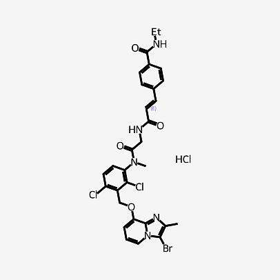 CCNC(=O)c1ccc(/C=C/C(=O)NCC(=O)N(C)c2ccc(Cl)c(COc3cccn4c(Br)c(C)nc34)c2Cl)cc1.Cl